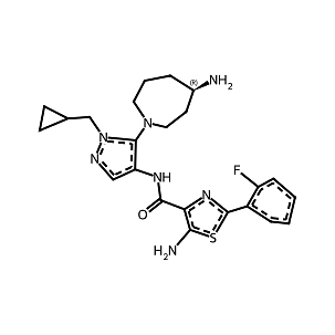 Nc1sc(-c2ccccc2F)nc1C(=O)Nc1cnn(CC2CC2)c1N1CCC[C@@H](N)CC1